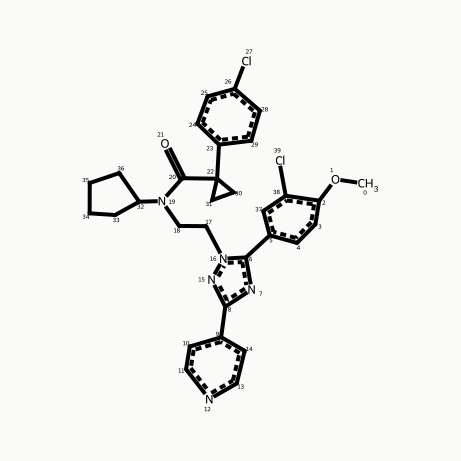 COc1ccc(-c2nc(-c3ccncc3)nn2CCN(C(=O)C2(c3ccc(Cl)cc3)CC2)C2CCCC2)cc1Cl